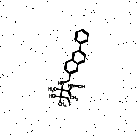 C=C(NO)[C@@](C)(NCc1ccc2cc(-c3ccccc3)ccc2c1)[C@](C)(O)CF